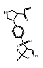 C=CC(C(F)(F)F)S(=O)(=O)c1ccc(N2CNCC2C(=O)C=O)cc1